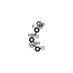 O=C(Nc1ccc(Cl)c(NC(=O)c2cccc(Cl)c2)c1)c1ccc(N2CCCS2(=O)=O)c(F)c1